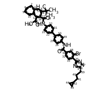 CC(C)(C)c1cc2ccccc2c(C(=O)O)c1C(=O)Nc1ccc(-c2ccc(NC(=O)c3ccc(-c4nnn(CCCC5CC5)n4)c(Br)c3)cc2)cc1